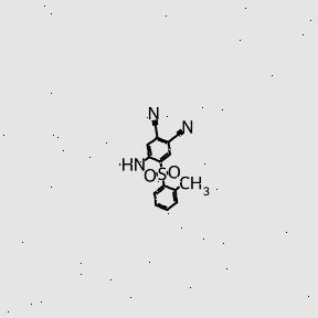 Cc1ccccc1S(=O)(=O)c1cc(C#N)c(C#N)cc1[NH]